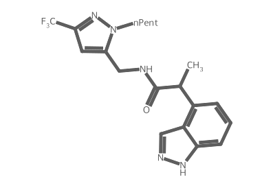 CCCCCn1nc(C(F)(F)F)cc1CNC(=O)C(C)c1cccc2[nH]ncc12